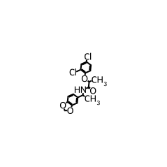 CC(Oc1ccc(Cl)cc1Cl)C(=O)NC(C)c1ccc2c(c1)OCO2